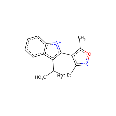 CCc1noc(C)c1-c1[nH]c2ccccc2c1C(C)C(=O)O